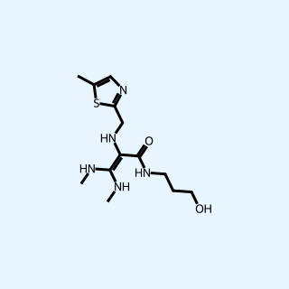 CNC(NC)=C(NCc1ncc(C)s1)C(=O)NCCCO